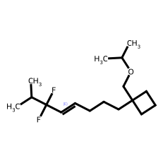 CC(C)OCC1(CCC/C=C/C(F)(F)C(C)C)CCC1